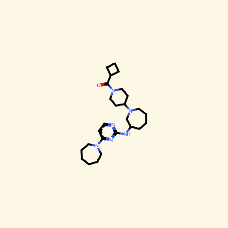 O=C(C1CCC1)N1CCC(N2CCCCC(Nc3nccc(N4CCCCCC4)n3)C2)CC1